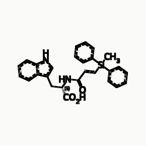 C[Si](C=CC(=O)N[C@@H](Cc1c[nH]c2ccccc12)C(=O)O)(c1ccccc1)c1ccccc1